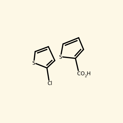 Clc1cccs1.O=C(O)c1cccs1